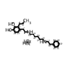 Br.Br.CCCc1c(CCNCCCCCCNCCc2ccccc2)ccc(O)c1O